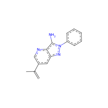 C=C(C)c1cnc2c(N)n(-c3ccccc3)nc2c1